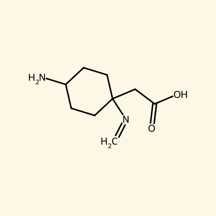 C=NC1(CC(=O)O)CCC(N)CC1